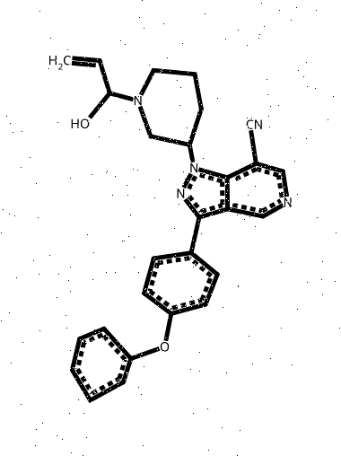 C=CC(O)N1CCCC(n2nc(-c3ccc(Oc4ccccc4)cc3)c3cncc(C#N)c32)C1